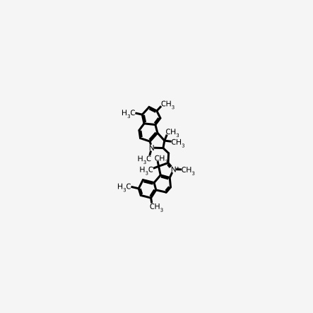 Cc1cc(C)c2ccc3c(c2c1)C(C)(C)C(CC1N(C)c2ccc4c(C)cc(C)cc4c2C1(C)C)=[N+]3C